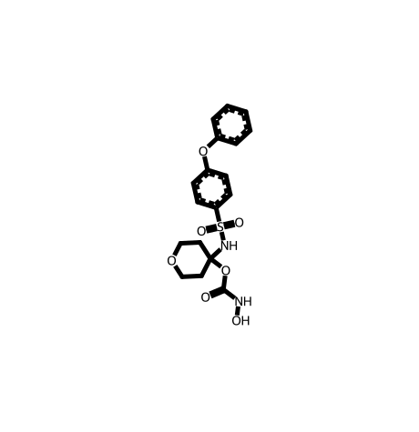 O=C(NO)OC1(NS(=O)(=O)c2ccc(Oc3ccccc3)cc2)CCOCC1